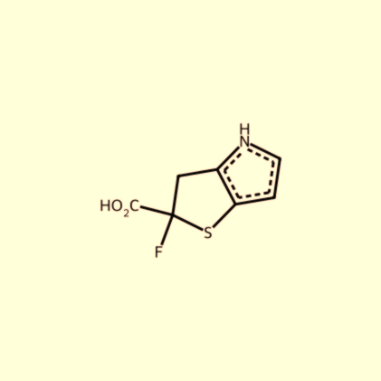 O=C(O)C1(F)Cc2[nH]ccc2S1